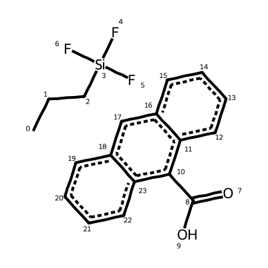 CCC[Si](F)(F)F.O=C(O)c1c2ccccc2cc2ccccc12